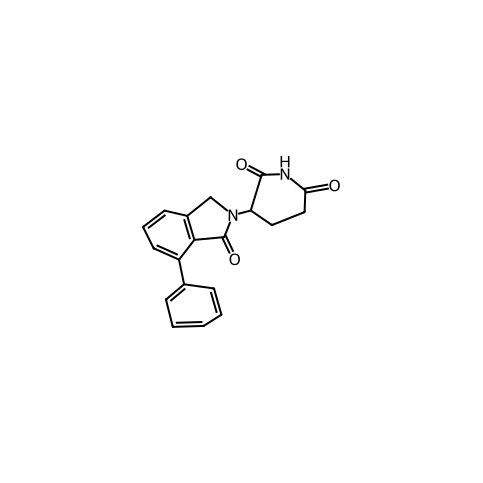 O=C1CCC(N2Cc3cccc(-c4ccccc4)c3C2=O)C(=O)N1